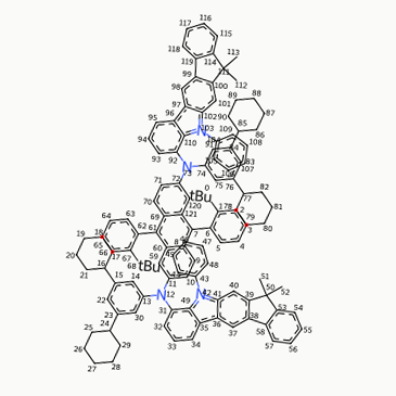 CC(C)(C)c1ccccc1-c1c2ccc(N(c3cc(C4CCCCC4)cc(C4CCCCC4)c3)c3cccc4c5cc6c(cc5n(-c5ccccc5)c34)C(C)(C)c3ccccc3-6)cc2c(-c2ccccc2C(C)(C)C)c2ccc(N(c3cc(C4CCCCC4)cc(C4CCCCC4)c3)c3cccc4c5cc6c(cc5n(-c5ccccc5)c34)C(C)(C)c3ccccc3-6)cc12